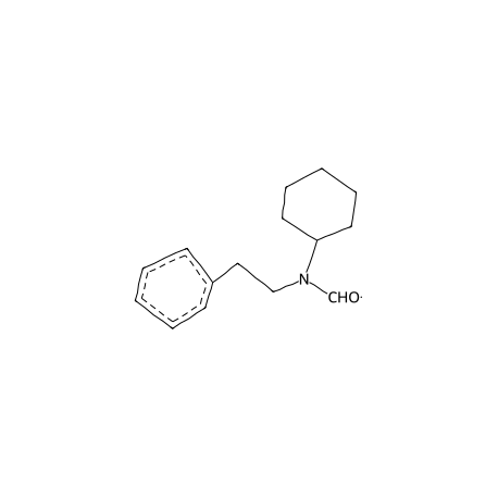 O=[C]N(CCc1ccccc1)C1CCCCC1